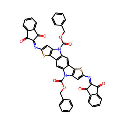 O=C(OCc1ccccc1)n1c2cc3c4sc(N=c5c(=O)c6ccccc6c5=O)cc4n(C(=O)OCc4ccccc4)c3cc2c2sc(N=c3c(=O)c4ccccc4c3=O)cc21